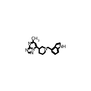 Cc1cc(C2CCCN(Cc3cccc4[nH]ccc34)C2)n2ncnc2n1